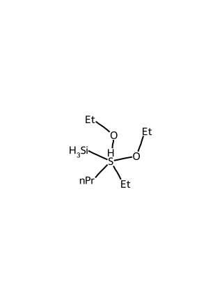 CCC[SH]([SiH3])(CC)(OCC)OCC